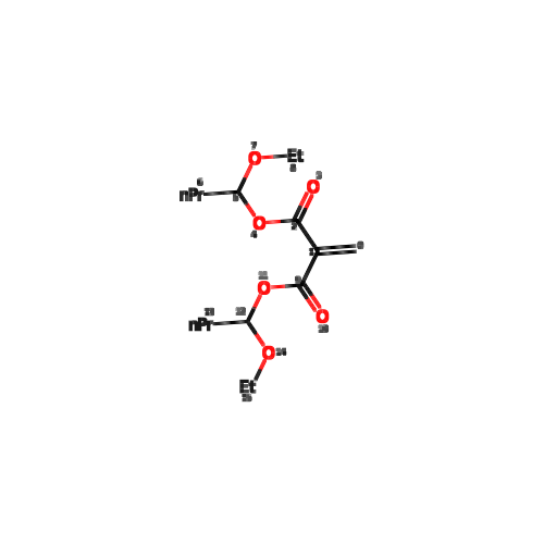 C=C(C(=O)OC(CCC)OCC)C(=O)OC(CCC)OCC